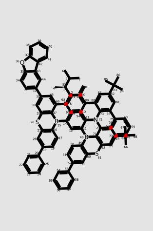 C=CC([C@@H](C)C(C)C)N1c2cc3c(cc2B2c4ccc(-c5ccccc5)cc4Sc4cc(-c5ccc6oc7ccccc7c6c5)cc1c42)B1c2ccc(-c4ccccc4)cc2Sc2cc(C(C)(C)C)cc(c21)N3c1c(-c2ccccc2)cc(C(C)(C)C)cc1-c1ccccc1